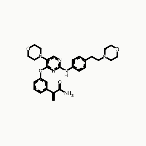 C=C(C(N)=O)c1cccc(Oc2nc(Nc3ccc(CCN4CCOCC4)cc3)ncc2N2CCOCC2)c1